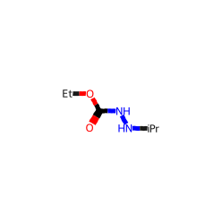 CCOC(=O)NNC(C)C